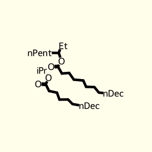 CCCCCCCCCCCCCCCC(=O)OC(C)C.CCCCCCCCCCCCCCCCCC(=O)OC(CC)CCCCC